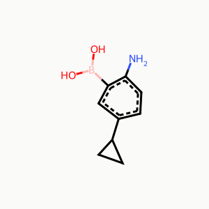 Nc1ccc(C2CC2)cc1B(O)O